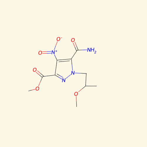 COC(=O)c1nn(CC(C)OC)c(C(N)=O)c1[N+](=O)[O-]